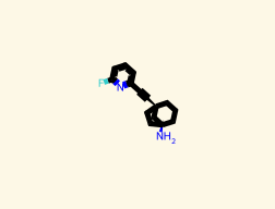 N[C@@]12CCC[C@@](C#Cc3cccc(F)n3)(CC1)C2